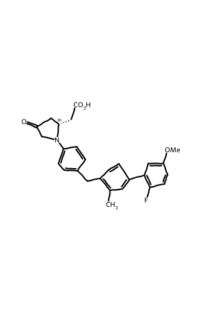 COc1ccc(F)c(-c2ccc(Cc3ccc(N4CC(=O)C[C@@H]4CC(=O)O)cc3)c(C)c2)c1